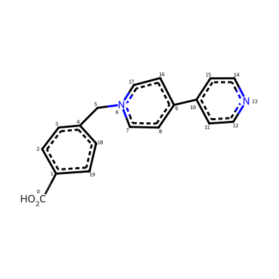 O=C(O)c1ccc(C[n+]2ccc(-c3ccncc3)cc2)cc1